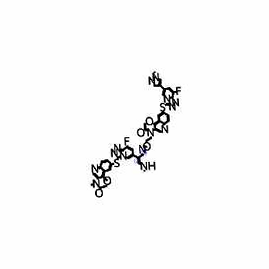 CN/C=C(\C=N\OCCN1C(=O)COc2c1cnc1ccc(Sc3nnc4c(F)cc(-c5cnn(C)c5)cn34)cc21)c1cc(F)c2nnc(Sc3ccc4ncc5c(c4c3)OCC(=O)N5C)n2c1